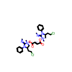 CN=C1N(c2ccccc2)C(CCCl)C[N+]1(C)OC(=O)/C=C/C(=O)O[N+]1(C)CC(CCCl)N(c2ccccc2)C1=NC